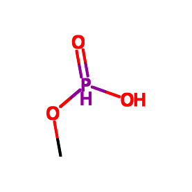 CO[PH](=O)O